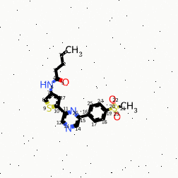 CCCCC(=O)Nc1csc(-c2cncc(-c3ccc(S(C)(=O)=O)cc3)n2)c1